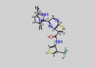 O=C(Nc1cscc1C(F)F)c1csc2ncc(N3C[C@@H]4CC[C@H]3CN4)nc12